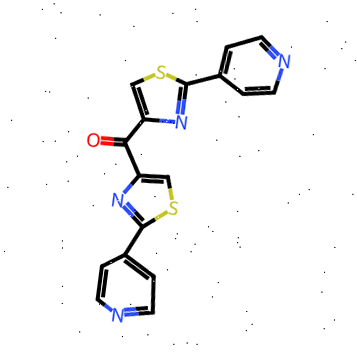 O=C(c1csc(-c2ccncc2)n1)c1csc(-c2ccncc2)n1